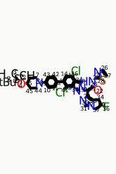 CC(C)(C)[Si](C)(C)OC1CCN(c2ccc(-c3cc(Cl)c4cn(C(C(=O)Nc5nccs5)c5ncn6c5C[C@@H](F)C6)nc4c3Cl)cc2)CC1